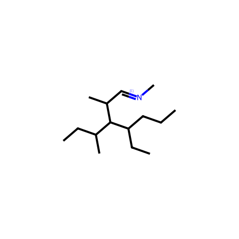 CCCC(CC)C(C(C)/C=N/C)C(C)CC